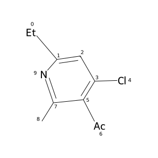 CCc1cc(Cl)c(C(C)=O)c(C)n1